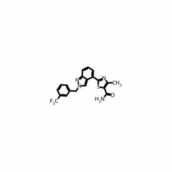 Cc1nc(-c2cccc3nn(Cc4cccc(C(F)(F)F)c4)cc23)sc1C(N)=O